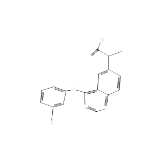 CC(C(N)=O)c1ccc2ncnc(Nc3cccc(Br)c3)c2c1